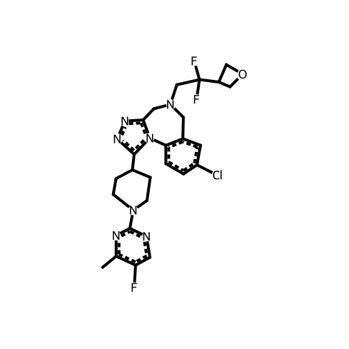 Cc1nc(N2CCC(c3nnc4n3-c3ccc(Cl)cc3CN(CC(F)(F)C3COC3)C4)CC2)ncc1F